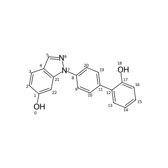 Oc1ccc2cnn(-c3ccc(-c4ccccc4O)cc3)c2c1